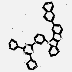 c1ccc(-c2nc(-c3ccccc3)nc(-c3cccc(-n4c5ccccc5c5oc6ccc(-c7ccc8ccccc8c7)cc6c54)c3)n2)cc1